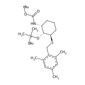 Cc1cc(C)c(CS[C@@H]2CCC[C@@H](NC(=O)OC(C)(C)C)[C@H]2O[Si](C)(C)C(C)(C)C)c(C)c1